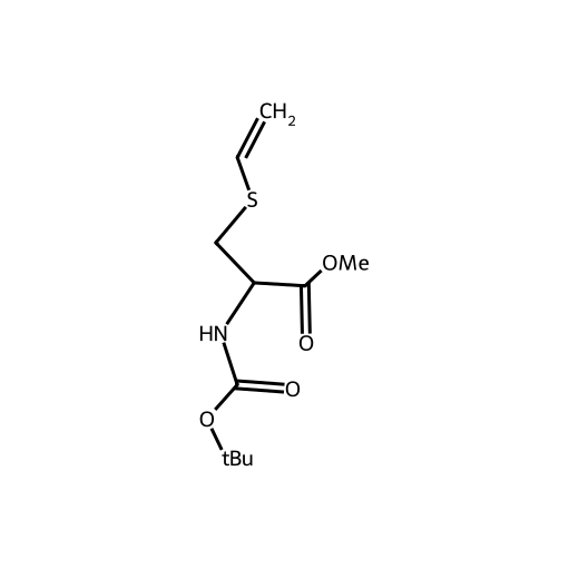 C=CSCC(NC(=O)OC(C)(C)C)C(=O)OC